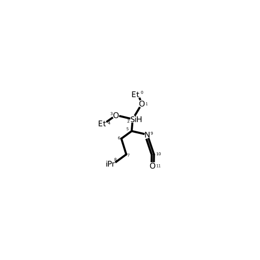 CCO[SiH](OCC)C(CCC(C)C)N=C=O